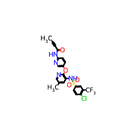 CC#CC(=O)Nc1ccc(Oc2ncc(C)cc2NS(=O)(=O)c2ccc(Cl)c(C(F)(F)F)c2)cn1